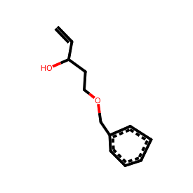 C=CC(O)CCOCc1ccccc1